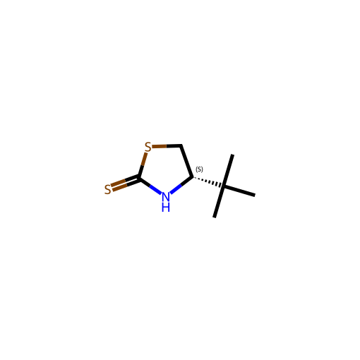 CC(C)(C)[C@H]1CSC(=S)N1